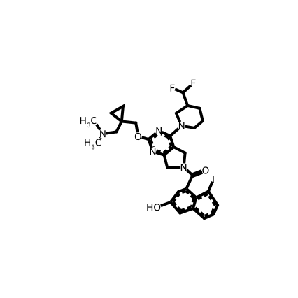 CN(C)CC1(COc2nc3c(c(N4CCCC(C(F)F)C4)n2)CN(C(=O)c2cc(O)cc4cccc(I)c24)C3)CC1